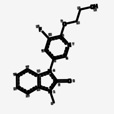 Cn1c(=O)n(-c2cnc(OCCO)c(F)c2)c2ccccc21